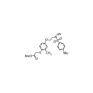 CCCN(CCOc1ccc(SCC(=O)OC)c(C)c1)S(=O)(=O)c1ccc(C(C)(C)C)cc1